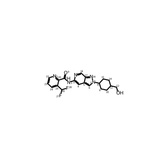 O=C(Nc1cc2cn(C3CCC(CO)CC3)nc2cn1)c1ncccc1C(F)F